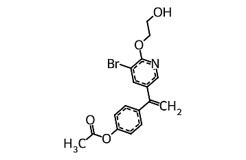 C=C(c1ccc(OC(C)=O)cc1)c1cnc(OCCO)c(Br)c1